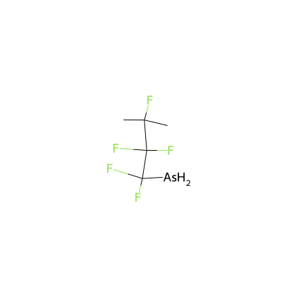 CC(C)(F)C(F)(F)C(F)(F)[AsH2]